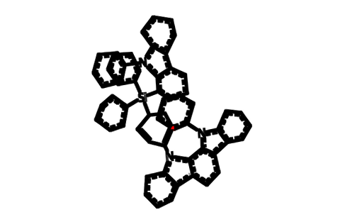 C1=CC([Si](c2ccccc2)(c2ccccc2)c2cccc3c4ccccc4n(-c4ccccc4)c23)CC=C1n1c2ccccc2c2ccc3c4ccccc4n(-c4ccccc4)c3c21